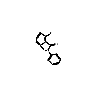 O=c1c2c(F)cccc2sn1-c1ccccc1